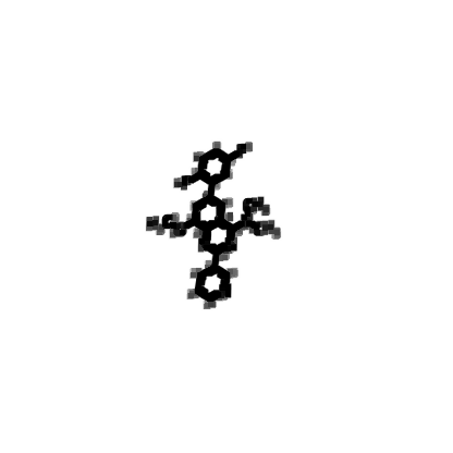 COc1cc(-c2cc(F)ccc2F)cc2c(N(C)C)nc(-c3cccnc3)nc12